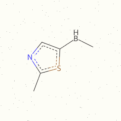 CBc1cnc(C)s1